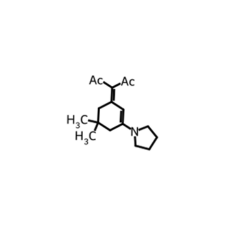 CC(=O)C(C(C)=O)=C1C=C(N2CCCC2)CC(C)(C)C1